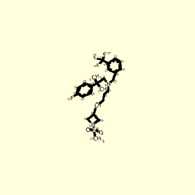 CC(C)(CN(CCCOC1CN(S(C)(=O)=O)C1)Cc1cccc(C(F)(F)F)c1)c1ccc(F)cc1